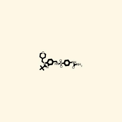 CC(C)(C)c1nc2cc(CNS(=O)(=O)c3ccc(NC(N)=O)cc3)ccc2n1CC1CCOCC1